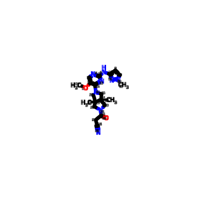 COc1cnc(Nc2ccn(C)n2)nc1N1C[C@]2(C)CN(C(=O)CC#N)C[C@]2(C)C1